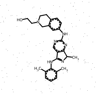 Cc1cccc(C)c1NC1=NC(C)c2nc(Nc3ccc4c(c3)CN(CCO)CC4)ncc21